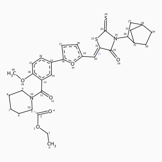 CCOC(=O)[C@@H]1CCCCN1C(=O)c1cc(-c2ccc(/C=C3\SC(=S)N(C4CC5CCC4C5)C3=O)o2)ccc1OC